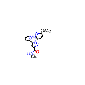 COc1ccc(-n2nc(C(=O)NC(C)(C)C)cc2-c2ccc[nH]2)cn1